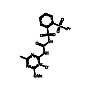 CCCS(=O)(=O)c1ccccc1S(=O)(=O)NC(=O)Nc1nc(C)nc(OC)[n+]1[O-]